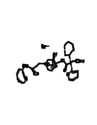 O=C(C[N+]12CCC(CC1)[C@@H](OC(=O)C(O)(c1ccco1)C1CCCCC1)C2)Nc1ccncn1.[Br-]